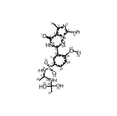 CCCc1nc(C)c2c(=O)[nH]c(-c3cc(S(=O)(=O)NC(C)NC(C)(O)O)ccc3OCC)nn12